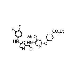 CCOC(=O)C1CCC(Oc2cc(OC)c(NC(=O)c3nnc(Nc4ccc(F)c(F)c4)o3)cn2)CC1